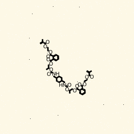 C=C(C)C(=O)OCCOC(=O)c1ccccc1C(=O)OCC(C)OC(=O)NCC1CCC(CNC(=O)OC(C)COC(=O)c2ccccc2C(=O)OCCOC(=O)C(=C)C)CC1